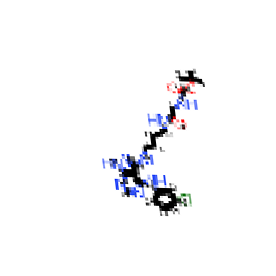 CC(C)(C)OC(=O)NCC(=O)NCCCCNc1n[nH]c2ncnc(Nc3cccc(Cl)c3)c12